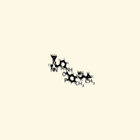 Cc1cc(F)c(C(=O)Nc2cccc(-c3nncn3C3CC3)n2)cc1-n1cnc(C2(C)CC2)c1